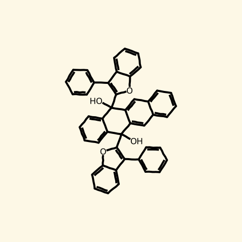 OC1(c2oc3ccccc3c2-c2ccccc2)c2ccccc2C(O)(c2oc3ccccc3c2-c2ccccc2)c2cc3ccccc3cc21